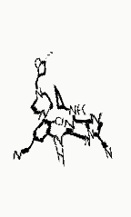 C[C@@H]1CC(CN2CCN(c3cc(C#N)cc(Nc4nc(NC5CC5)c5ncc(C#N)n5n4)c3Cl)CC2)O1